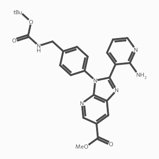 COC(=O)c1cnc2c(c1)nc(-c1cccnc1N)n2-c1ccc(CNC(=O)OC(C)(C)C)cc1